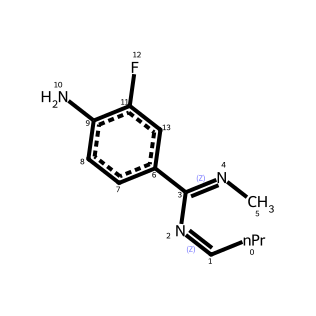 CCC/C=N\C(=N/C)c1ccc(N)c(F)c1